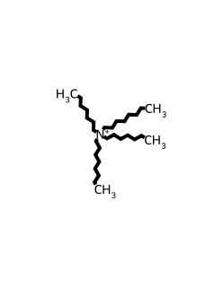 CCCCCCCC[N+](CCCCCCC)(CCCCCCC)CCCCCCCC